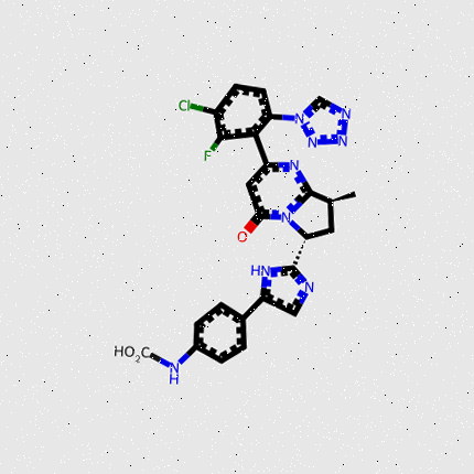 C[C@H]1C[C@H](c2ncc(-c3ccc(NC(=O)O)cc3)[nH]2)n2c1nc(-c1c(-n3cnnn3)ccc(Cl)c1F)cc2=O